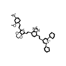 COc1cc(N(C)C)ccc1/C=C/c1sc(/C=C/c2ccc(/C=C/c3cc(-c4ccccc4)[s+]c(-c4ccccc4)c3)c3nsnc23)c2c1OCCO2